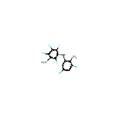 COc1c(F)c(F)c(F)c(Bc2cc(F)cc(F)c2C)c1F